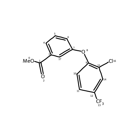 COC(=O)c1cccc(Oc2ccc(C(F)(F)F)cc2Cl)c1